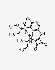 CCC(C)Nc1c(Nc2ccc(Cl)c(S(=O)(=O)N(CC)OC)c2O)c(=O)c1=O